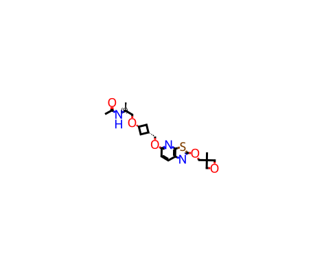 CC(=O)N[C@@H](C)CO[C@H]1C[C@H](COc2ccc3nc(OCC4(C)COC4)sc3n2)C1